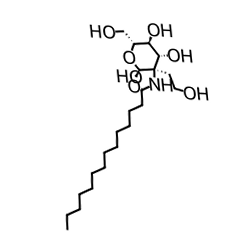 CCCCCCCCCCCCCC(=O)N[C@@]1(CCO)[C@@H](O)O[C@H](CO)[C@@H](O)[C@@H]1O